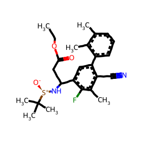 CCOC(=O)CC(N[S@+]([O-])C(C)(C)C)c1cc(-c2cccc(C)c2C)c(C#N)c(C)c1F